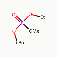 CCCCOP(=O)(OC)OCC